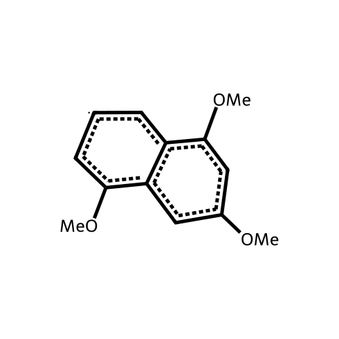 COc1cc(OC)c2c[c]cc(OC)c2c1